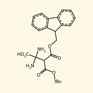 CC(C)(C)OC(=O)C(C(=O)OCC1c2ccccc2-c2ccccc21)C(N)(N)C(=O)O